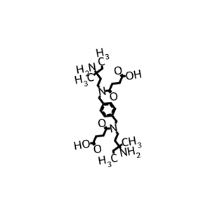 CCC(C)(N)CCN(Cc1ccc(CN(CCC(C)(N)CC)C(=O)CCC(=O)O)cc1)C(=O)CCC(=O)O